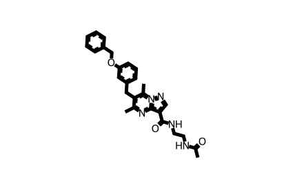 CC(=O)NCCNC(=O)c1cnn2c(C)c(Cc3cccc(OCc4ccccc4)c3)c(C)nc12